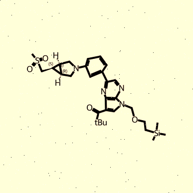 CC(C)(C)C(=O)c1cn(COCC[Si](C)(C)C)c2ncc(-c3cccc(N4C[C@@H]5[C@H](C4)[C@@H]5CS(C)(=O)=O)c3)nc12